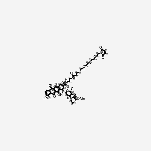 COc1cccc2c1C(=O)c1c(O)c3c(c(O)c1C2=O)C[C@@](O)(C(=O)NCCNC(=O)CCOCCOCCOCCOCCN1C(=O)C=CC1=O)C[C@@H]3O[C@H]1C[C@H]2[C@H](O[C@@H]3[C@@H](OC)OCCN32)[C@H](C)O1